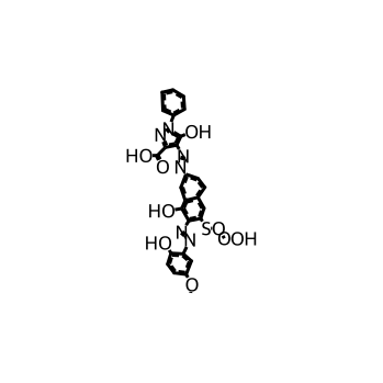 COc1ccc(O)c(/N=N/c2c(SOOO)cc3ccc(/N=N/c4c(C(=O)O)nn(-c5ccccc5)c4O)cc3c2O)c1